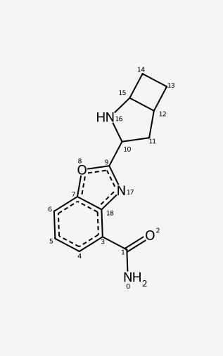 NC(=O)c1cccc2oc(C3CC4CCC4N3)nc12